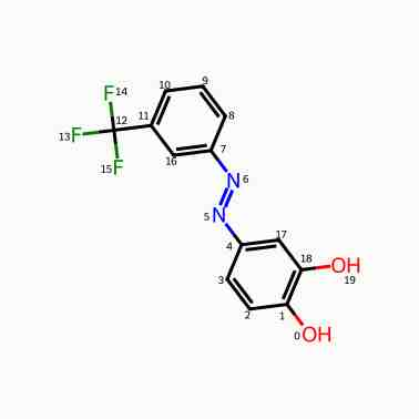 Oc1ccc(N=Nc2cccc(C(F)(F)F)c2)cc1O